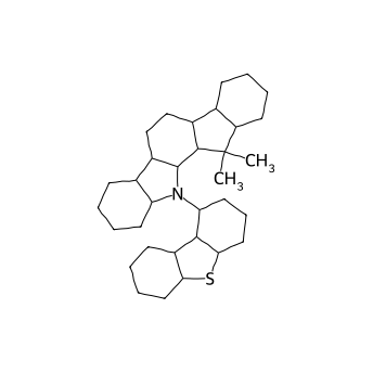 CC1(C)C2CCCCC2C2CCC3C4CCCCC4N(C4CCCC5SC6CCCCC6C54)C3C21